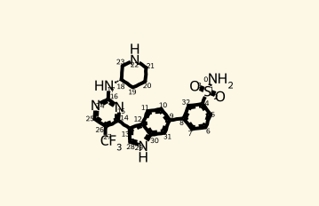 NS(=O)(=O)c1cccc(-c2ccc3c(-c4nc(N[C@H]5CCCNC5)ncc4C(F)(F)F)c[nH]c3c2)c1